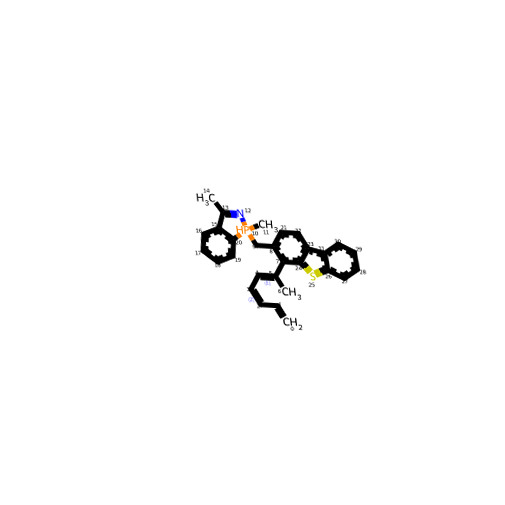 C=C/C=C\C=C(/C)c1c(C[PH]2(C)N=C(C)c3ccccc32)ccc2c1sc1ccccc12